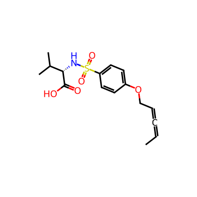 CC=C=CCOc1ccc(S(=O)(=O)N[C@H](C(=O)O)C(C)C)cc1